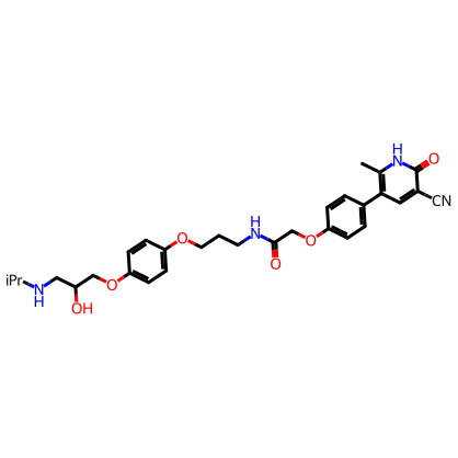 Cc1[nH]c(=O)c(C#N)cc1-c1ccc(OCC(=O)NCCCOc2ccc(OCC(O)CNC(C)C)cc2)cc1